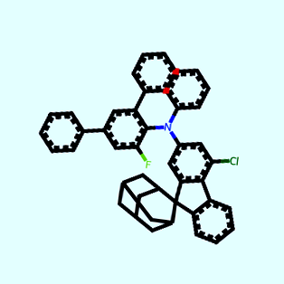 Fc1cc(-c2ccccc2)cc(-c2ccccc2)c1N(c1ccccc1)c1cc(Cl)c2c(c1)C1(c3ccccc3-2)C2CC3CC(C2)CC1C3